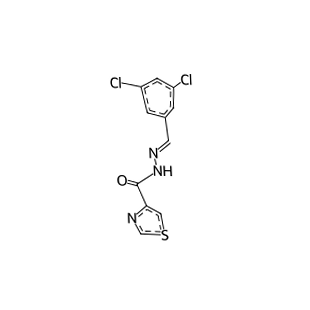 O=C(N/N=C/c1cc(Cl)cc(Cl)c1)c1cscn1